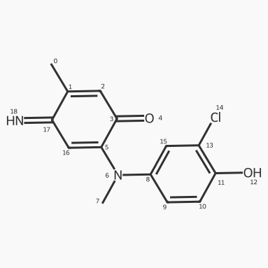 CC1=CC(=O)C(N(C)c2ccc(O)c(Cl)c2)=CC1=N